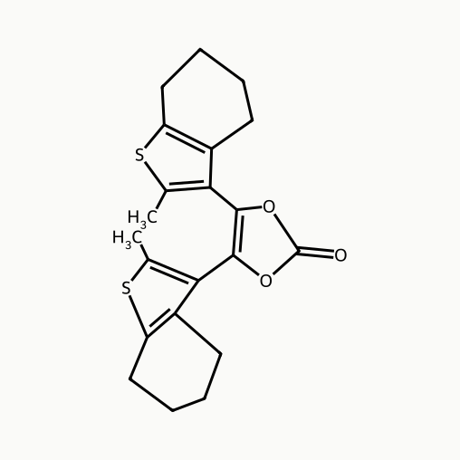 Cc1sc2c(c1-c1oc(=O)oc1-c1c(C)sc3c1CCCC3)CCCC2